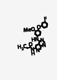 C=CC(=O)Nc1cc2c(Nc3ccc(Oc4cccc(F)c4)c(OC)c3)ncnc2cn1